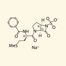 CSCC[C@@H](NC(=O)c1ccccc1)C(=O)N1CC[C@@H]2[C@H]1C(=O)N2S(=O)(=O)[O-].[Na+]